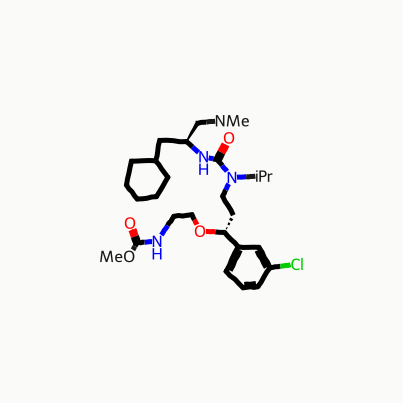 CNC[C@H](CC1CCCCC1)NC(=O)N(CC[C@@H](OCCNC(=O)OC)c1cccc(Cl)c1)C(C)C